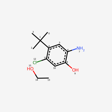 CC(C)(C)c1cc(N)c(O)cc1Cl.CCO